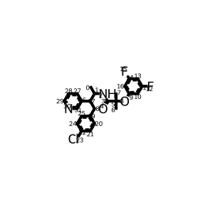 CC(NC(=O)C(C)(C)Oc1cc(F)cc(F)c1)C(Cc1ccc(Cl)cc1)c1cccnc1